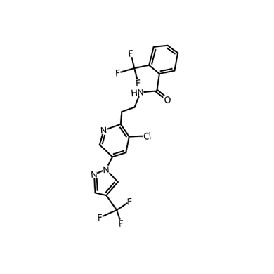 O=C(NCCc1ncc(-n2cc(C(F)(F)F)cn2)cc1Cl)c1ccccc1C(F)(F)F